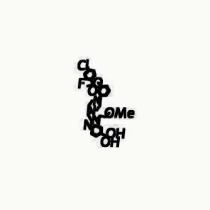 COCCn1c(CN2CCN(c3cccc4c3OC(C)(c3ccc(Cl)cc3F)O4)CC2)nc2ccc(C(O)O)cc21